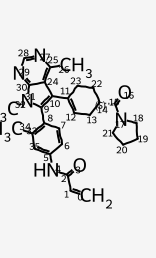 C=CC(=O)Nc1ccc(-c2c(C3=CC[C@@H](C(=O)N4CCCC4)CC3)c3c(C)ncnc3n2C)c(C)c1